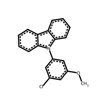 COc1cc(Cl)cc(-n2c3ccccc3c3ccccc32)c1